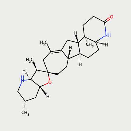 CC1=C2C[C@H]3[C@@H](CC[C@@H]4NC(=O)CC[C@@]43C)[C@@H]2CC[C@@]2(C1)O[C@@H]1C[C@H](C)CN[C@H]1[C@H]2C